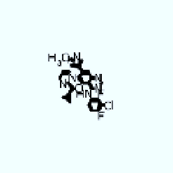 Cn1cc(-c2cc(OC(c3ncccn3)C3CC3)c3c(Nc4ccc(F)c(Cl)c4F)ncnc3c2)cn1